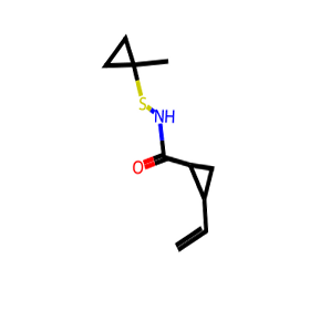 C=CC1CC1C(=O)NSC1(C)CC1